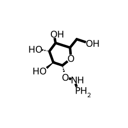 OCC1O[C@H](ONP)[C@@H](O)[C@H](O)C1O